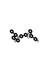 Fc1ccc(-c2cc3c4c(c2)c2ccccc2n4-c2ccc(-c4ccc(N(c5ccc(-c6ccccc6)cc5)c5cccc6sc7ccccc7c56)cc4)cc2O3)cc1